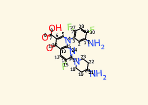 Nc1cc(-n2cc(C(=O)O)c(=O)c3cc(F)c(N4CCC(N)CC4)nc32)c(F)cc1F